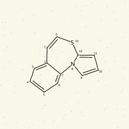 C1=Cc2ccccc2-n2cccc2S1